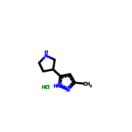 Cc1cc(C2CCNC2)[nH]n1.Cl